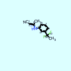 C/C(=C\C#N)Nc1cccc(C(C)(F)F)c1